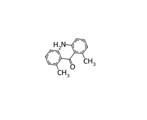 Cc1ccccc1C(=O)c1c(C)cccc1N